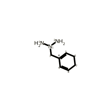 NN(N)CC1=CCCC=C1